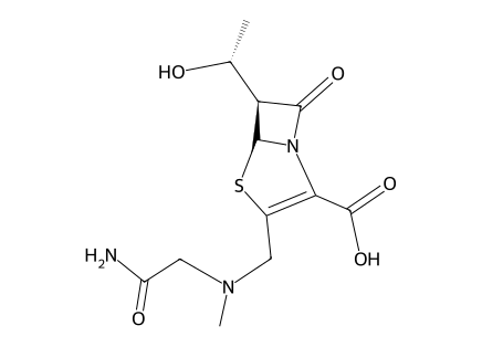 C[C@@H](O)[C@H]1C(=O)N2C(C(=O)O)=C(CN(C)CC(N)=O)SC12